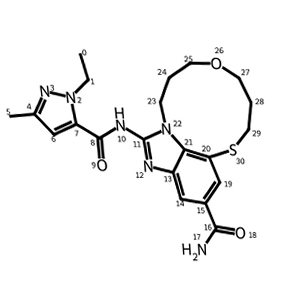 CCn1nc(C)cc1C(=O)Nc1nc2cc(C(N)=O)cc3c2n1CCCOCCCS3